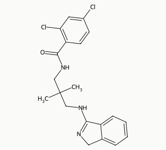 CC(C)(CNC(=O)c1ccc(Cl)cc1Cl)CNC1=NCc2ccccc21